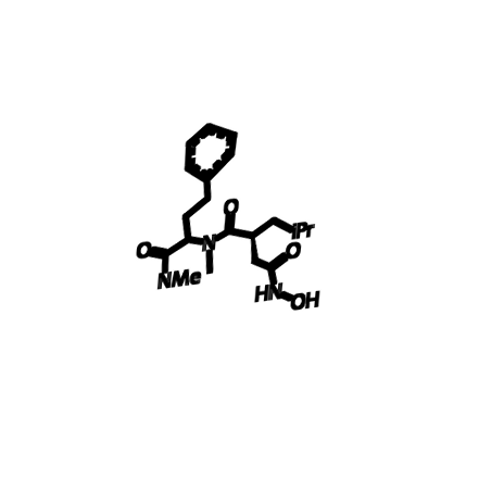 CNC(=O)C(CCc1ccccc1)N(C)C(=O)[C@H](CC(=O)NO)CC(C)C